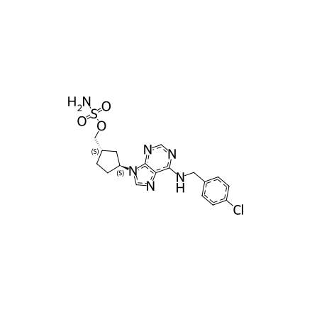 NS(=O)(=O)OC[C@H]1CC[C@H](n2cnc3c(NCc4ccc(Cl)cc4)ncnc32)C1